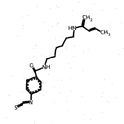 C=C(/C=C/C)NCCCCCCNC(=O)c1ccc(N=C=S)cc1